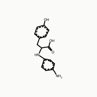 Nc1ccc(NC(Cc2ccc(O)cc2)C(=O)O)cc1